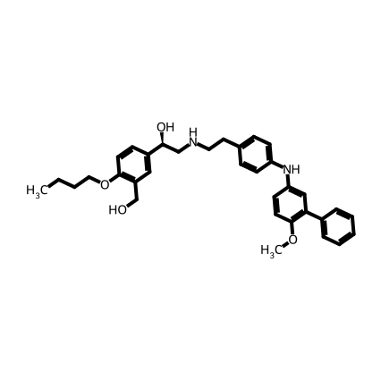 CCCCOc1ccc([C@@H](O)CNCCc2ccc(Nc3ccc(OC)c(-c4ccccc4)c3)cc2)cc1CO